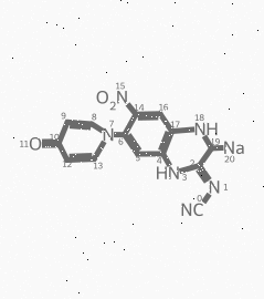 N#CN=C1Nc2cc(-n3ccc(=O)cc3)c([N+](=O)[O-])cc2N[CH]1[Na]